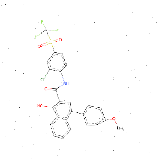 COc1ccc(-c2cc(C(=O)Nc3ccc(S(=O)(=O)C(F)(F)F)cc3Cl)c(O)c3ccccc23)cc1